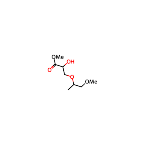 COCC(C)OCC(O)C(=O)OC